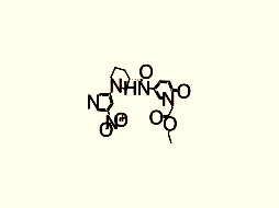 CCOC(=O)Cn1cc(NC(=O)[C@H]2CCCN(c3cncc([N+](=O)[O-])c3)C2)ccc1=O